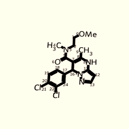 COCCN(C)C(=O)C1=C(C)Nc2ccnn2C1c1ccc(Cl)c(Cl)c1